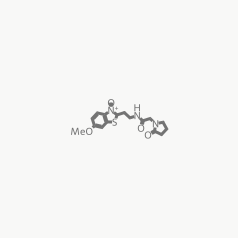 COc1ccc2c(c1)SC(CCNC(=O)CN1CCCC1=O)[N+]2=O